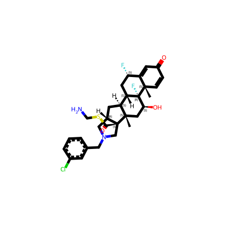 C[C@]12C=CC(=O)C=C1[C@@H](F)C[C@H]1[C@@H]3C[C@H]4CN(Cc5cccc(Cl)c5)C[C@@]4(C(=O)SCN)[C@@]3(C)C[C@H](O)[C@@]12F